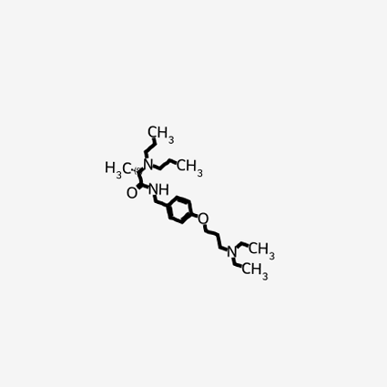 CCCN(CCC)[C@@H](C)C(=O)NCc1ccc(OCCCN(CC)CC)cc1